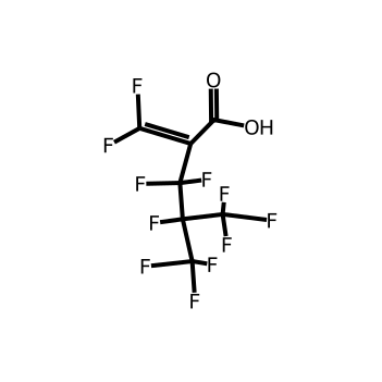 O=C(O)C(=C(F)F)C(F)(F)C(F)(C(F)(F)F)C(F)(F)F